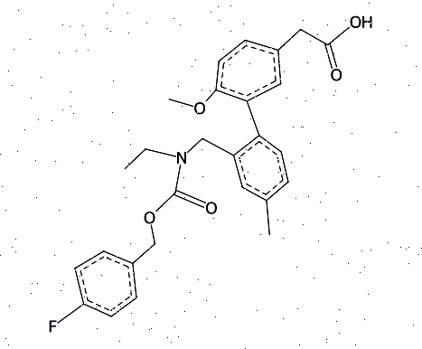 CCN(Cc1cc(C)ccc1-c1cc(CC(=O)O)ccc1OC)C(=O)OCc1ccc(F)cc1